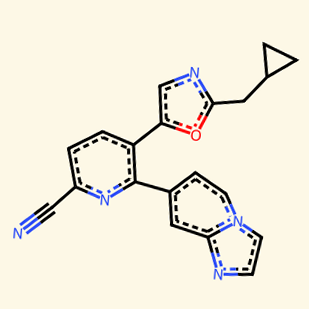 N#Cc1ccc(-c2cnc(CC3CC3)o2)c(-c2ccn3ccnc3c2)n1